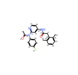 CC(=O)N(c1ccc(F)cc1)c1cc(NC(=O)Cc2c(C)cccc2C)ccn1